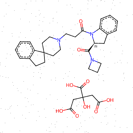 O=C(O)CC(O)(CC(=O)O)C(=O)O.O=C([C@@H]1Cc2ccccc2N1C(=O)CCN1CCC2(CCc3ccccc32)CC1)N1CCC1